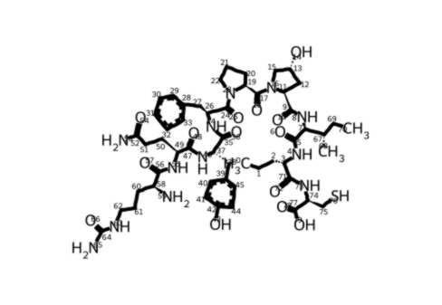 CCC[C@H](NC(=O)[C@@H](NC(=O)[C@@H]1C[C@@H](O)CN1C(=O)[C@@H]1CCCN1C(=O)[C@H](Cc1ccccc1)NC(=O)[C@H](Cc1ccc(O)cc1)NC(=O)[C@H](CCC(N)=O)NC(=O)[C@@H](N)CCCNC(N)=O)[C@@H](C)CC)C(=O)N[C@@H](CS)C(=O)O